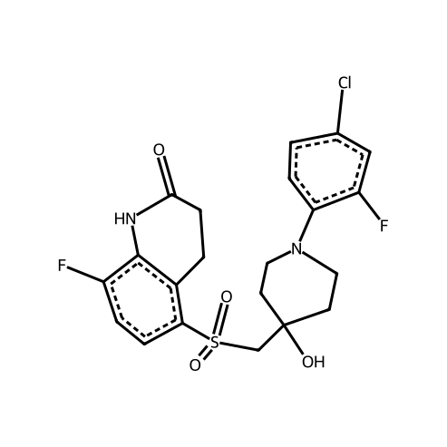 O=C1CCc2c(S(=O)(=O)CC3(O)CCN(c4ccc(Cl)cc4F)CC3)ccc(F)c2N1